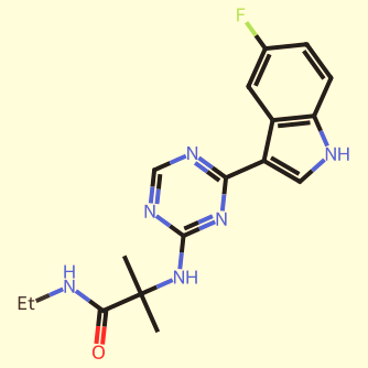 CCNC(=O)C(C)(C)Nc1ncnc(-c2c[nH]c3ccc(F)cc23)n1